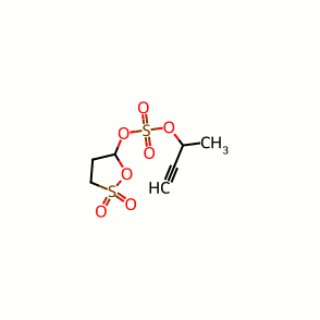 C#CC(C)OS(=O)(=O)OC1CCS(=O)(=O)O1